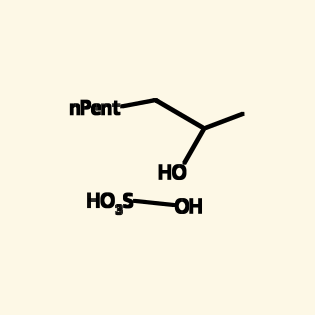 CCCCCCC(C)O.O=S(=O)(O)O